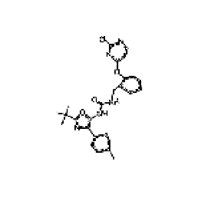 Cc1ccc(-c2nc(C(C)(C)C)oc2NC(=O)NCc2ccccc2Oc2ccnc(Cl)n2)cc1